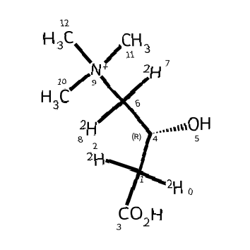 [2H]C([2H])(C(=O)O)[C@@H](O)C([2H])([2H])[N+](C)(C)C